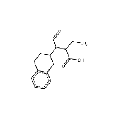 CCC(C(=O)O)N(C=O)C1CCc2ccccc2C1